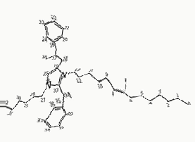 CCCCCCCCCCCCCC[n+]1c(CC(C)c2ccccc2)cn(CCCCCC)c1Cc1ccccc1